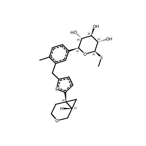 CS[C@H]1O[C@@H](c2ccc(C)c(Cc3ccc([C@]45CCOC[C@H]4C5)s3)c2)[C@H](O)[C@@H](O)[C@@H]1O